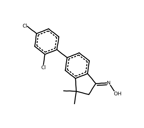 CC1(C)CC(=NO)c2ccc(-c3ccc(Cl)cc3Cl)cc21